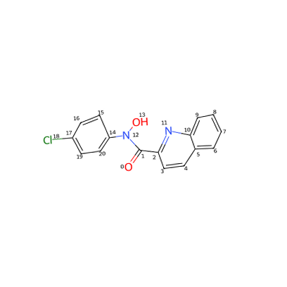 O=C(c1ccc2ccccc2n1)N(O)c1ccc(Cl)cc1